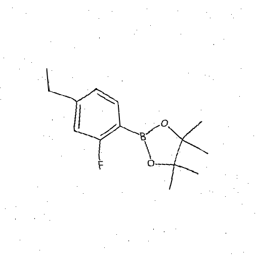 CCc1ccc(B2OC(C)(C)C(C)(C)O2)c(F)c1